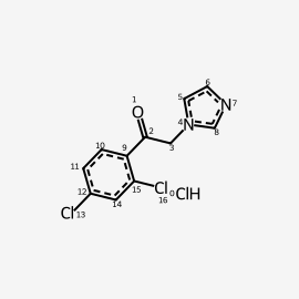 Cl.O=C(Cn1ccnc1)c1ccc(Cl)cc1Cl